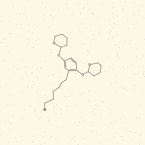 BrCCCCCCc1cc(OC2CCCCO2)ccc1OC1CCCCO1